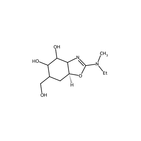 CCN(C)C1=NC2C(O)C(O)C(CO)C[C@@H]2O1